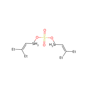 CCC(=C[SiH2]OS(=O)(=O)O[SiH2]C=C(CC)CC)CC